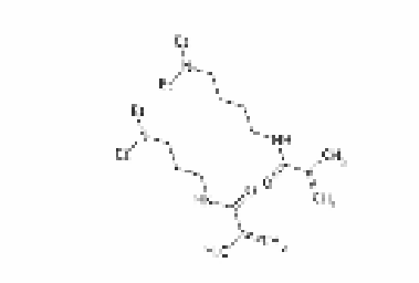 C=C(C)C(=O)NCCCCN(CC)CC.C=C(C)C(=O)NCCCN(CC)CC